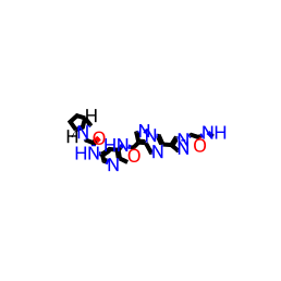 CNC(=O)Cn1cc(-c2cn3ncc(C(=O)Nc4cc(NC(=O)CN5C[C@@H]6CC[C@H]5C6)cnc4C)c3cn2)cn1